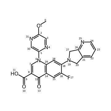 COc1cnc(-n2cc(C(=O)O)c(=O)c3cc(F)c(N4Cc5cccnc5C4)cc32)cn1